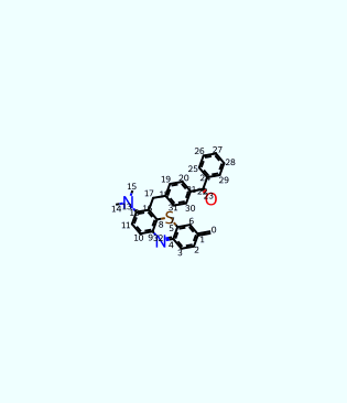 C=c1ccc2c(c1)Sc1c(ccc(N(C)C)c1Cc1ccc(C(=O)c3ccccc3)cc1)N=2